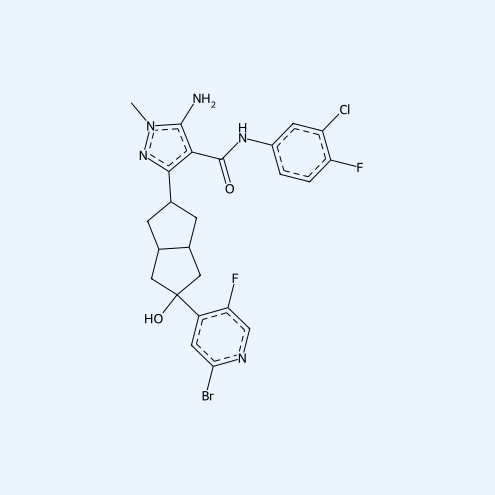 Cn1nc(C2CC3CC(O)(c4cc(Br)ncc4F)CC3C2)c(C(=O)Nc2ccc(F)c(Cl)c2)c1N